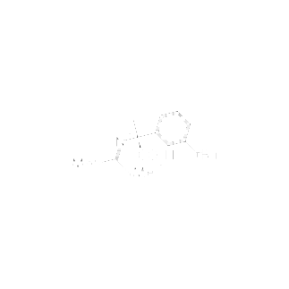 CSC(=N[C@@](C)(C(=O)O)c1cccc(C(C)(C)C)c1)SC